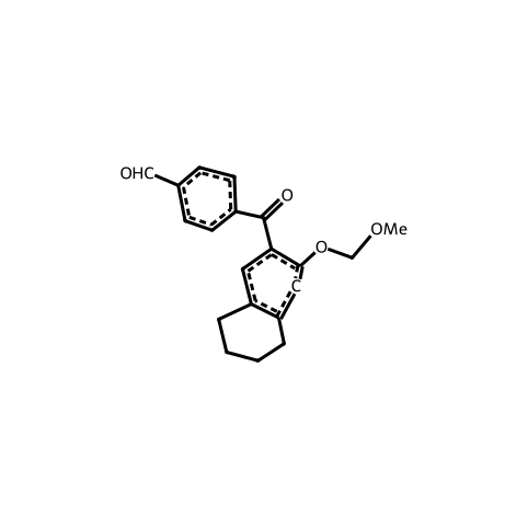 COCOc1cc2c(cc1C(=O)c1ccc(C=O)cc1)CCCC2